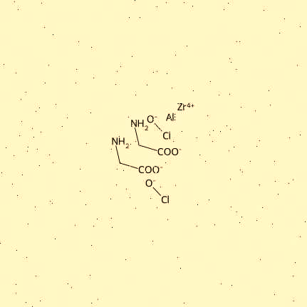 NCC(=O)[O-].NCC(=O)[O-].[Al].[O-]Cl.[O-]Cl.[Zr+4]